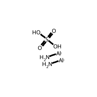 O=S(=O)(O)O.[NH2][Al].[NH2][Al]